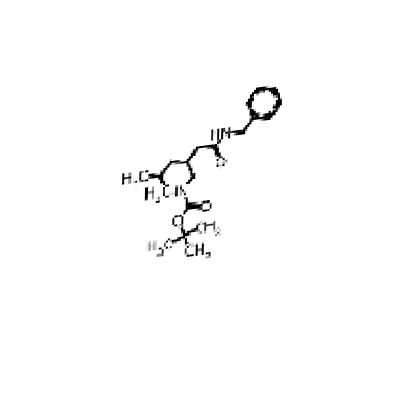 CC(C)C[C@H](CNC(=O)OC(C)(C)C)CC(=O)NCc1ccccc1